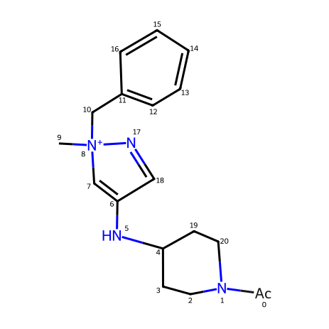 CC(=O)N1CCC(NC2=C[N+](C)(Cc3ccccc3)N=C2)CC1